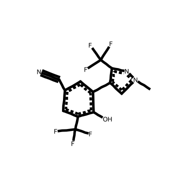 Cn1cc(-c2cc(C#N)cc(C(F)(F)F)c2O)c(C(F)(F)F)n1